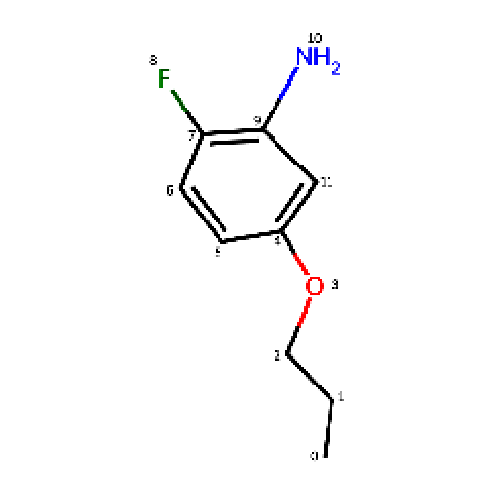 CCCOc1ccc(F)c(N)c1